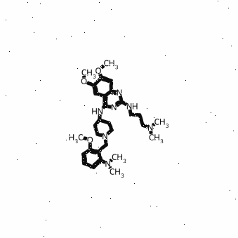 COc1cc2nc(NCCCN(C)C)nc(NC3CCN(Cc4c(OC)cccc4N(C)C)CC3)c2cc1OC